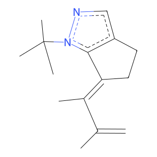 C=C(C)/C(C)=C1\CCc2cnn(C(C)(C)C)c21